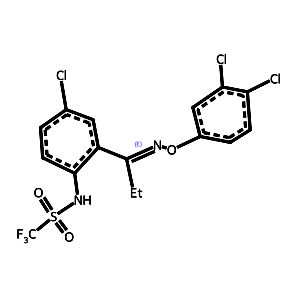 CC/C(=N\Oc1ccc(Cl)c(Cl)c1)c1cc(Cl)ccc1NS(=O)(=O)C(F)(F)F